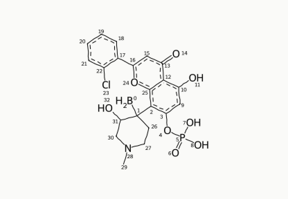 BC1(c2c(OP(=O)(O)O)cc(O)c3c(=O)cc(-c4ccccc4Cl)oc23)CCN(C)CC1O